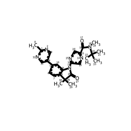 Cc1ncc(-c2ccc3c(c2)N(c2cnc(C(=O)N(C)C(C)(C)C)cn2)C(=O)C3(C)C)cn1